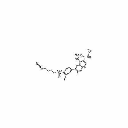 CNc1c(C(=O)NC2CC2)cnc2cc(F)c(-c3ccc(C(=O)NCCCCN=[N+]=[N-])c(F)c3)cc12